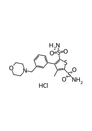 Cc1c(S(N)(=O)=O)sc(S(N)(=O)=O)c1-c1cccc(CN2CCOCC2)c1.Cl